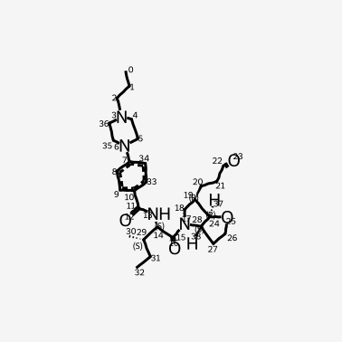 CCCN1CCN(c2ccc(C(=O)N[C@H](C(=O)N3C[C@@H](CCC=O)[C@H]4OCC[C@@H]43)[C@@H](C)CC)cc2)CC1